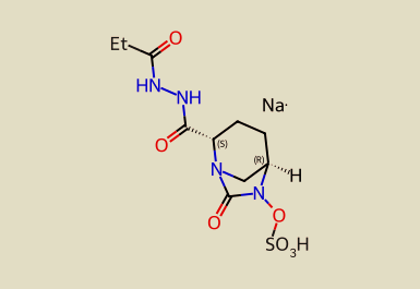 CCC(=O)NNC(=O)[C@@H]1CC[C@@H]2CN1C(=O)N2OS(=O)(=O)O.[Na]